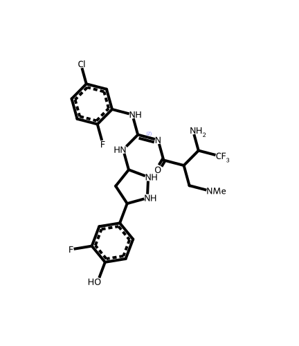 CNCC(C(=O)/N=C(/Nc1cc(Cl)ccc1F)NC1CC(c2ccc(O)c(F)c2)NN1)C(N)C(F)(F)F